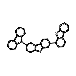 c1ccc2c(c1)oc1c(-c3ccc4c(c3)oc3ccc(-n5c6ccccc6c6ccccc65)cc34)cccc12